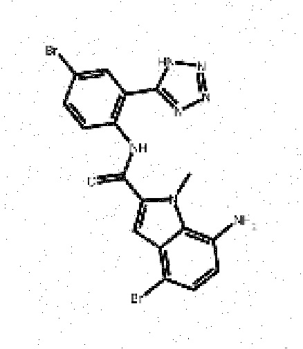 Cn1c(C(=O)Nc2ccc(Br)cc2-c2nnn[nH]2)cc2c(Br)ccc(N)c21